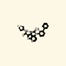 C=c1[nH]c2c(C(=O)N[C@@H]3CCNC3)sc3nccc(c32)n1-c1cccc(-c2ccccc2)c1